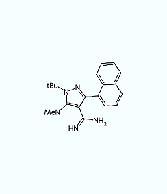 CNc1c(C(=N)N)c(-c2cccc3ccccc23)nn1C(C)(C)C